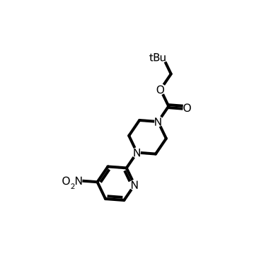 CC(C)(C)COC(=O)N1CCN(c2cc([N+](=O)[O-])ccn2)CC1